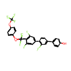 Oc1ccc(-c2ccc(-c3cc(F)c(C(F)(F)Oc4ccc(OC(F)(F)F)cc4)c(F)c3)c(F)c2)cc1